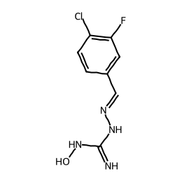 N=C(NO)N/N=C/c1ccc(Cl)c(F)c1